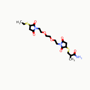 CCSC1CC(=O)N(CCOCCOCCN2C(=O)CC(SCC(C)C(N)=O)C2=O)C1=O